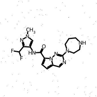 Cn1cc(NC(=O)c2ccc3cnc(N4CCCNCC4)nn23)c(C(F)F)n1